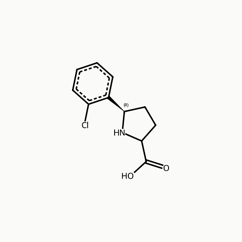 O=C(O)C1CC[C@H](c2ccccc2Cl)N1